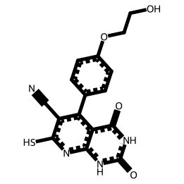 N#Cc1c(S)nc2[nH]c(=O)[nH]c(=O)c2c1-c1ccc(OCCO)cc1